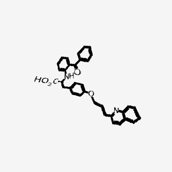 O=C(c1ccccc1)c1ccccc1N[C@@H](Cc1ccc(OCC=Cc2ccc3ccccc3n2)cc1)C(=O)O